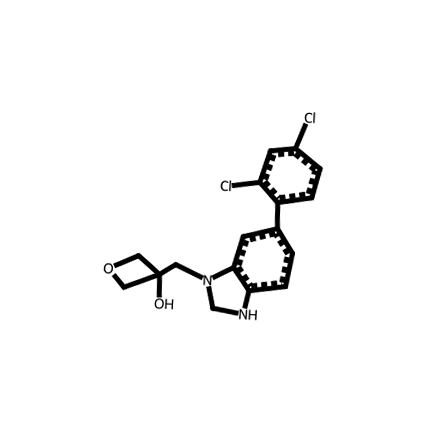 OC1(CN2CNc3ccc(-c4ccc(Cl)cc4Cl)cc32)COC1